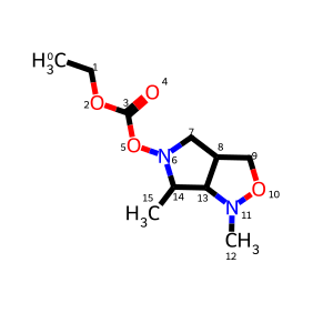 CCOC(=O)ON1CC2CON(C)C2C1C